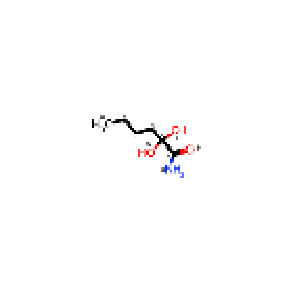 CCCCC(O)(O)C(N)=O